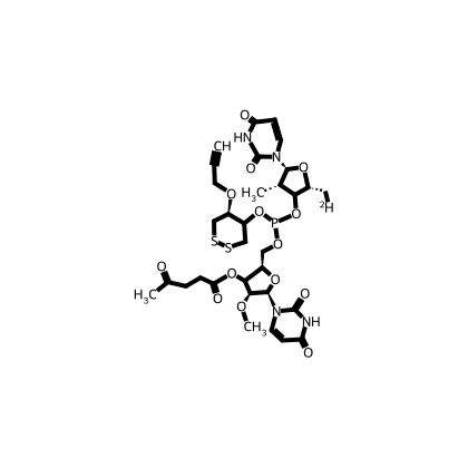 [2H]C[C@H]1O[C@@H](n2ccc(=O)[nH]c2=O)[C@@H](C)C1OP(OC[C@H]1O[C@@H](n2ccc(=O)[nH]c2=O)[C@@H](OC)C1OC(=O)CCC(C)=O)OC1CSSC[C@H]1OCC#C